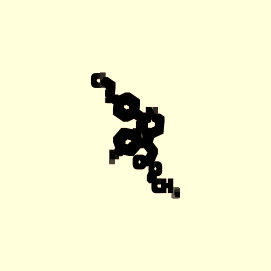 CCOC(=O)Cc1c2n(c3ccc(F)cc13)C(c1ccc(SCCl)cc1)=NCC2